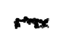 CC1(C)CCC(CN2CCN(c3ccc(C(=O)NS(=O)(=O)c4ccc(NCC5CCCN(C(=O)CCC#Cc6cccc7c6CN(C6CCC(=O)NC6=O)C7=O)C5)c([N+](=O)[O-])c4)c(Oc4cnc5[nH]ccc5c4)c3)CC2)=C(c2ccc(Cl)cc2)C1